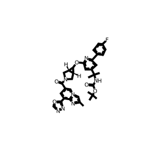 Cc1cn2cc(C(=O)N3C[C@@H]4C(Oc5cc(C(C)(C)NC(=O)OC(C)(C)C)cc(-c6ccc(F)cc6)n5)[C@@H]4C3)cc(-c3nnco3)c2n1